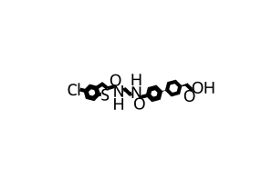 O=C(O)C[C@H]1CC[C@H](c2ccc(C(=O)NCCNC(=O)C3Cc4cc(Cl)ccc4S3)cc2)CC1